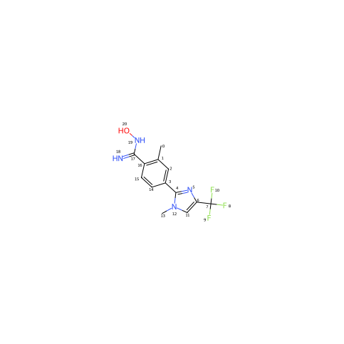 Cc1cc(-c2nc(C(F)(F)F)cn2C)ccc1C(=N)NO